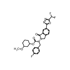 COC1CCCC(OC(=O)N(Cc2ccc(F)cc2)N2Cc3ccc(-c4nnc(C(F)F)o4)cc3C2=O)C1